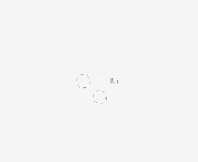 CC(C)(C)[Si](OC1CCCCC1C=O)(c1ccccc1)c1ccccc1